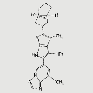 Cc1c(C2C[C@H]3CCC[C@H]3C2)sc2[nH]c(-c3cc(C)c4ncnn4c3)c(C(C)C)c12